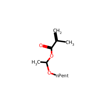 C=C(C)C(=O)OC(C)OCCCCC